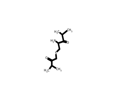 CC(C)C(=O)CSCC(N)C(=O)C(C)C